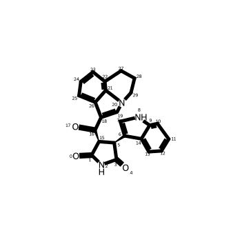 O=C1NC(=O)[C@H](c2c[nH]c3ccccc23)[C@@H]1C(=O)c1cn2c3c(cccc13)CCC2